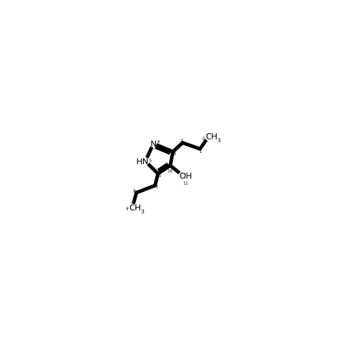 CCCc1n[nH]c(CCC)c1O